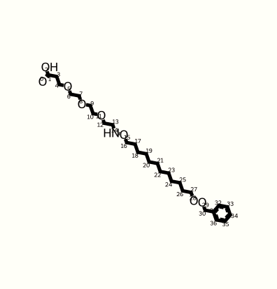 O=C(O)CCOCCOCCOCCNOCCCCCCCCCCCCOOCc1ccccc1